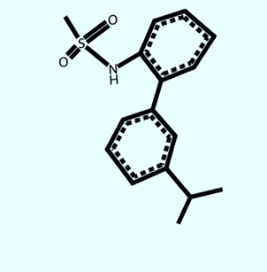 CC(C)c1cccc(-c2ccccc2NS(C)(=O)=O)c1